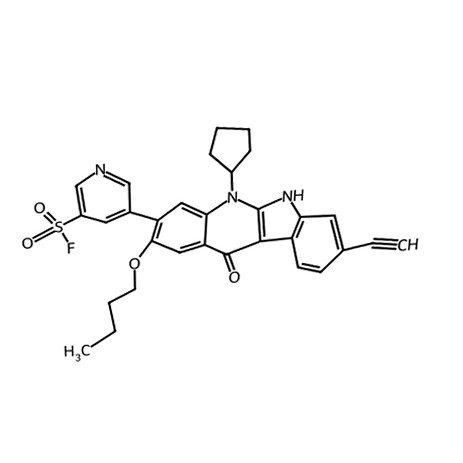 C#Cc1ccc2c(c1)[nH]c1c2c(=O)c2cc(OCCCC)c(-c3cncc(S(=O)(=O)F)c3)cc2n1C1CCCC1